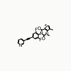 Cc1csc2c(=O)n(-c3c(F)cc(C#Cc4cccnc4)cc3F)c(=O)n(C)c12